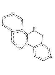 c1cc2c(cn1)CNc1c-2ccc2ccncc12